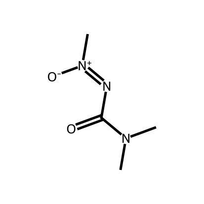 CN(C)C(=O)N=[N+](C)[O-]